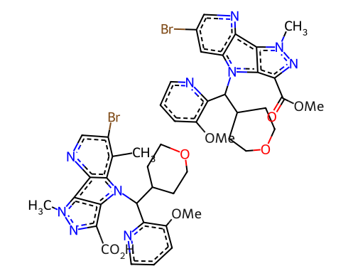 COC(=O)c1nn(C)c2c3ncc(Br)cc3n(C(c3ncccc3OC)C3CCOCC3)c12.COc1cccnc1C(C1CCOCC1)n1c2c(C)c(Br)cnc2c2c1c(C(=O)O)nn2C